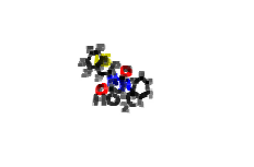 O=C1CN(C2(C(=O)O)CCCCC2)C(=O)N1C(CS)Cc1ccccc1